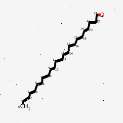 CC=CC=CC=CC=CC=CC=CC=CC=CC=CC=CC=CC=O